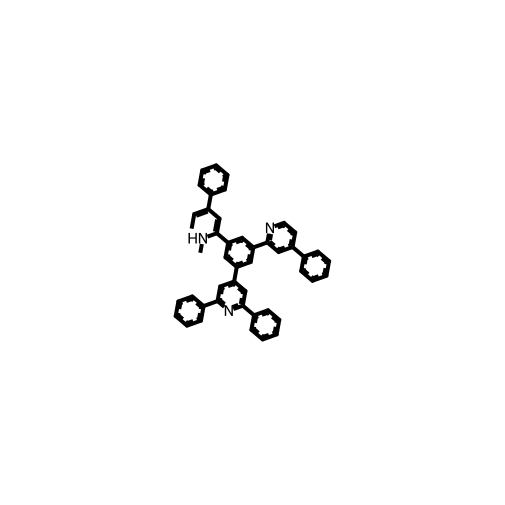 C/C=C(\C=C(/NC)c1cc(-c2cc(-c3ccccc3)nc(-c3ccccc3)c2)cc(-c2cc(-c3ccccc3)ccn2)c1)c1ccccc1